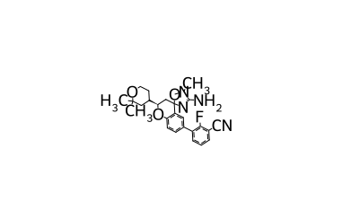 CN1OC2(C[C@H](C3CCOC(C)(C)C3)Oc3ccc(-c4cccc(C#N)c4F)cc32)N=C1N